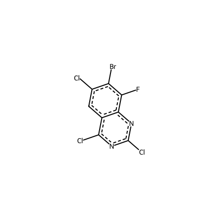 Fc1c(Br)c(Cl)cc2c(Cl)nc(Cl)nc12